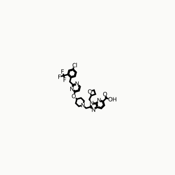 O=C(O)c1ccc2nc(CN3CCC(Oc4ccnc(Cc5ccc(Cl)cc5C(F)(F)F)n4)CC3)n(CC3CCO3)c2n1